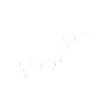 CCOc1[c]c(OCC(=O)N(CC)Cc2ccc(C(F)(F)F)cc2)ccc1